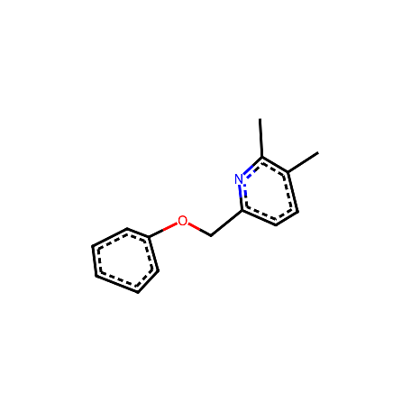 Cc1ccc(COc2ccccc2)nc1C